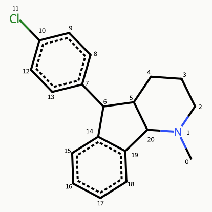 CN1CCCC2C(c3ccc(Cl)cc3)c3ccccc3C21